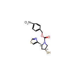 O=C(OCc1ccc([N+](=O)[O-])cc1)N1C[C@@H](S)C[C@H]1c1cscn1